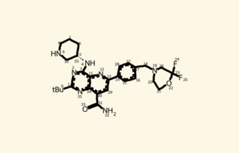 CC(C)(C)c1nc(N[C@H]2CCCNC2)c2nc(-c3ccc(CN4CCOC(F)(F)C4)cc3)cc(C(N)=O)c2n1